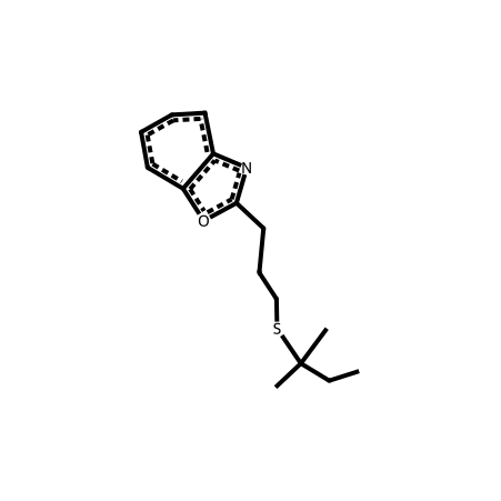 CCC(C)(C)SCCCc1nc2ccccc2o1